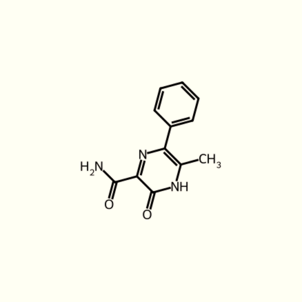 Cc1[nH]c(=O)c(C(N)=O)nc1-c1ccccc1